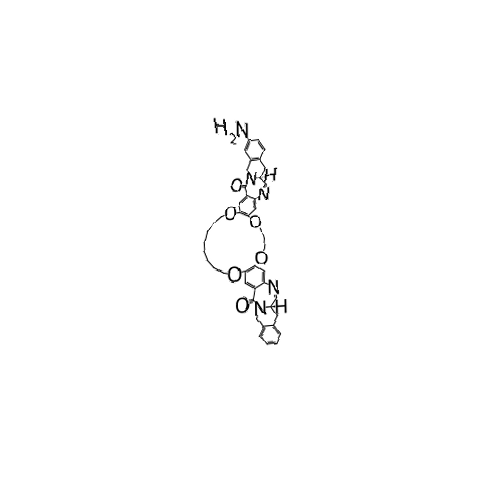 Nc1ccc2c(c1)CN1C(=O)c3cc4c(cc3N=C[C@@H]1C2)OCCCOc1cc2c(cc1OCCCCCCCCO4)C(=O)N1Cc3ccccc3C[C@H]1C=N2